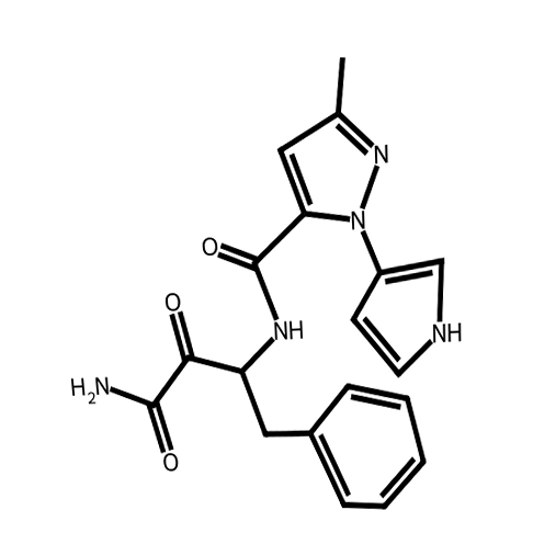 Cc1cc(C(=O)NC(Cc2ccccc2)C(=O)C(N)=O)n(-c2cc[nH]c2)n1